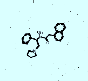 O=C(Cc1cccc2ccccc12)N(O)C(CN1CCCC1)c1ccccc1